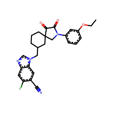 CCOc1cccc(N2CC3(CCCC(Cn4cnc5cc(F)c(C#N)cc54)C3)C(=O)C2=O)c1